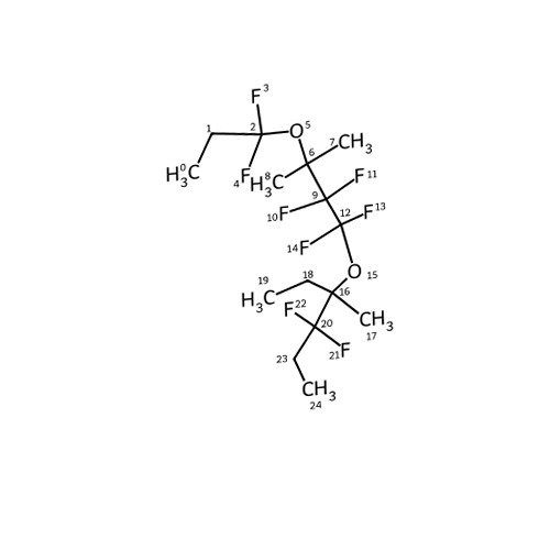 CCC(F)(F)OC(C)(C)C(F)(F)C(F)(F)OC(C)(CC)C(F)(F)CC